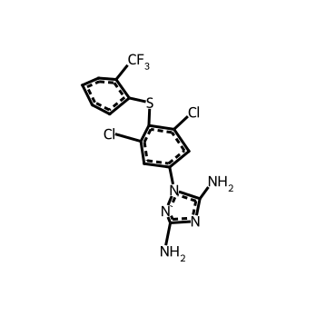 Nc1nc(N)n(-c2cc(Cl)c(Sc3ccccc3C(F)(F)F)c(Cl)c2)n1